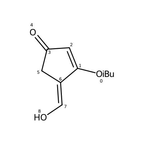 CC(C)COC1=CC(=O)CC1=CO